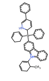 CC1CC=CC=C1n1c2ccccc2c2cc([Si](C3=CC=CCC3)(c3ccccc3)C3C=CC(c4ccccc4)=CN3)ccc21